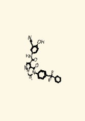 C[C@H]1Cn2ncc(C(=O)Nc3ccc(O)c(C#N)c3)c2C(=O)N1c1ccc(C(F)(F)c2ccccc2)cc1